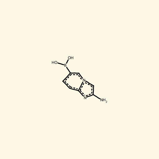 Nc1cn2cc(B(O)O)ccc2n1